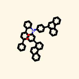 c1ccc(-c2ccc(-c3ccccc3N(c3ccc(-c4cc5ccccc5c5ccccc45)cc3)c3cccc(-c4cccc5c4ccc4ccccc45)c3)cc2)cc1